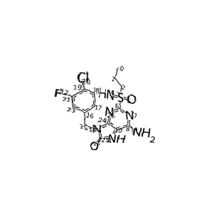 CCCS(=N)(=O)c1nc(N)c2[nH]c(=O)n(Cc3ccc(Cl)c(F)c3)c2n1